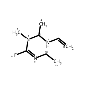 C=CNC(C)N(C)/C(F)=N\CC